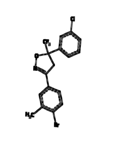 Cc1cc(C2=NOC(c3cccc(Cl)c3)(C(F)(F)F)C2)ccc1Br